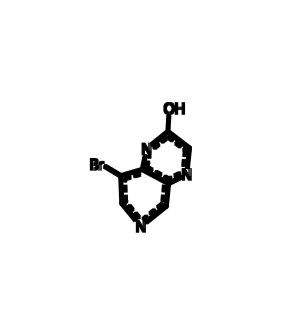 Oc1cnc2cncc(Br)c2n1